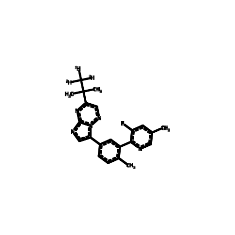 [2H]C([2H])([2H])C(C)(C)c1cnn2c(-c3ccc(C)c(-c4ncc(C)cc4F)c3)cnc2n1